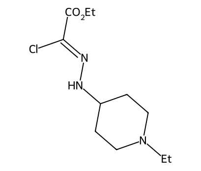 CCOC(=O)/C(Cl)=N/NC1CCN(CC)CC1